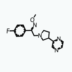 CON=C(CN1CCC(c2cnccn2)C1)c1ccc(F)cc1